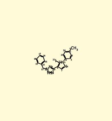 Cc1ccc(-n2ncc(-c3nnn(Cc4ccccc4)n3)c2I)cc1